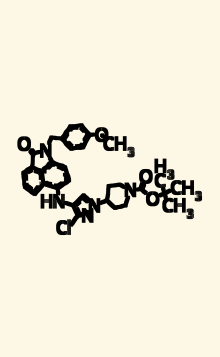 COc1ccc(CN2C(=O)c3cccc4c(Nc5cn(C6CCN(C(=O)OC(C)(C)C)CC6)nc5Cl)ccc2c34)cc1